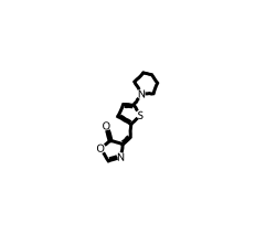 O=C1OC=NC1=Cc1ccc(N2CCCCC2)s1